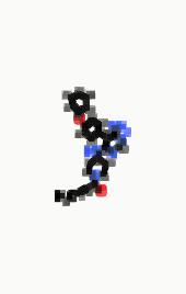 CC#CC(=O)N1CCC(Nc2ncnc(N)c2-c2ccc(Oc3ccccc3)cc2)CC1